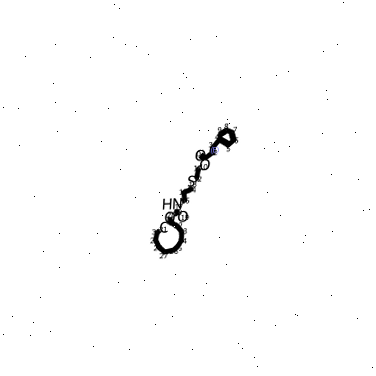 O=C(/C=C/c1ccccc1)OCCSCCCNC(=O)OC1CCCCCCCCCC1